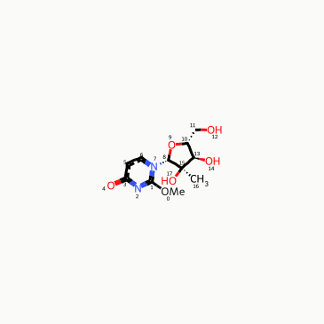 COc1nc(=O)ccn1[C@@H]1O[C@H](CO)[C@@H](O)[C@@]1(C)O